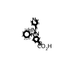 O=C(O)Oc1ccc2c(c1)nc(NCc1ccncc1)n2C1CCCCCC1